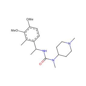 COc1ccc(C(C)NC(=O)N(C)C2CCN(C)CC2)c(C)c1OC